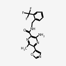 Cc1nc(C(=O)NCc2ccccc2C(F)(F)F)c(N)nc1-c1cnco1